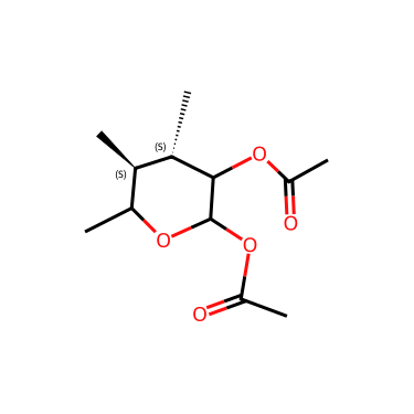 CC(=O)OC1OC(C)[C@@H](C)[C@H](C)C1OC(C)=O